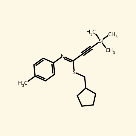 Cc1ccc(N=C(C#C[Si](C)(C)C)SCC2CCCC2)cc1